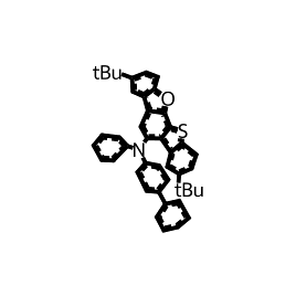 CC(C)(C)c1ccc2oc3c(cc(N(c4ccccc4)c4ccc(-c5ccccc5)cc4)c4c5cc(C(C)(C)C)ccc5sc34)c2c1